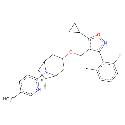 Cc1cccc(F)c1-c1noc(C2CC2)c1COC1CC2C[C@@H](C)C(C1)N2c1ccc(C(=O)O)cn1